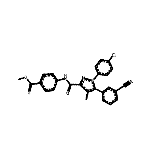 COC(=O)c1ccc(NC(=O)c2nn(-c3ccc(Cl)cc3)c(-c3cccc(C#N)c3)c2C)cc1